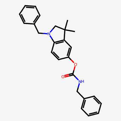 CC1(C)CN(Cc2ccccc2)c2ccc(OC(=O)NCc3ccccc3)cc21